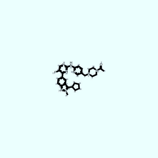 CC(=O)N1CCN(Cc2ccc(Nc3ncc(F)c(-c4ccc5nn(C)c(C6CCCC6)c5c4)n3)nc2)CC1